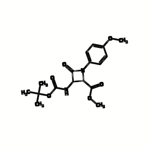 COC(=O)C1C(NC(=O)OC(C)(C)C)C(=O)N1c1ccc(OC)cc1